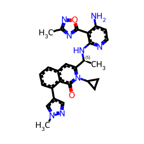 Cc1noc(-c2c(N)ccnc2N[C@@H](C)c2cc3cccc(-c4cnn(C)c4)c3c(=O)n2C2CC2)n1